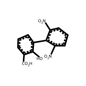 O=C(O)c1cccc(-c2c([N+](=O)[O-])cccc2[N+](=O)[O-])c1O